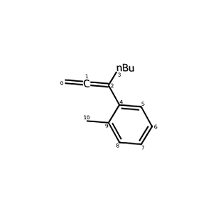 C=C=C(CCCC)c1ccccc1C